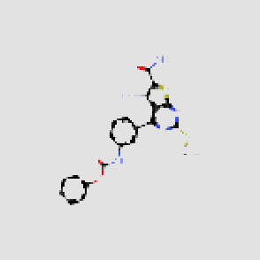 CSc1nc(-c2cccc(NC(=O)Oc3ccccc3)c2)c2c(N)c(C(N)=O)sc2n1